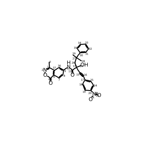 Cc1noc(=O)c2ccc(NC(=O)C(O)(C#Cc3ccc([N+](=O)[O-])cc3)CC(C)(C)c3ccccc3)cc12